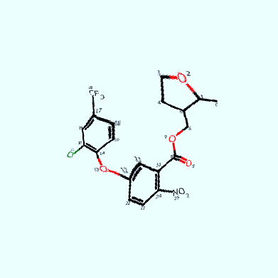 CC1OCCC1COC(=O)c1cc(Oc2ccc(C(F)(F)F)cc2Cl)ccc1[N+](=O)[O-]